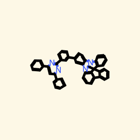 c1ccc2c(c#1)-n1c(nc3cc(-c4cccc(-c5nc(-c6ccccc6)cc(-c6ccccc6)n5)c4)ccc31)C21c2ccccc2-c2ccccc21